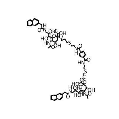 CC(=O)N[C@H]1[C@H]([C@H](O)[C@H](O)CNC(=O)Cc2ccc3ccccc3c2)O[C@@](OCCCSCCNC(=O)c2ccc(C(=O)NCCSCCCO[C@]3(C(=O)O)C[C@H](O)[C@@H](NC(C)=O)[C@H]([C@H](O)[C@H](O)CNC(=O)Cc4ccc5ccccc5c4)O3)cc2)(C(=O)O)C[C@@H]1O